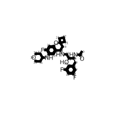 CC(=O)N[C@@H](Cc1cc(F)cc(F)c1)[C@H](O)CN[C@H]1CC2(CCC2)Oc2cc(F)c(NC3CCOCC3)cc21